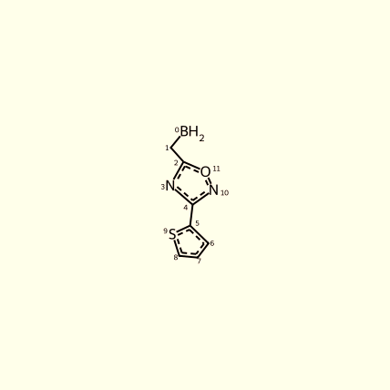 BCc1nc(-c2cccs2)no1